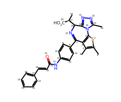 Cc1sc2c(c1C)C(c1ccc(NC(=O)C=Cc3ccccc3)cc1)=NC([C@H](C)C(=O)O)c1nnc(C)n1-2